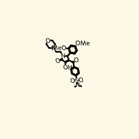 COc1ccc(C2C(C(=O)c3ccc(S(=O)(=O)N(C)C)cc3)=C(O)C(=O)N2CCN2CCOCC2)c(OC)c1